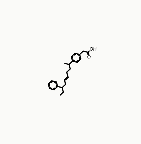 CCC(C/C=C/CCC(C)c1ccc(CC(=O)O)cc1)c1ccccc1